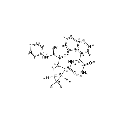 CC(C)C(Nc1cncnc1)C(=O)N1C[C@H]2[C@@H]([C@H]1C(=O)NC(C(N)=O)c1nncc3ccccc13)C2(C)C